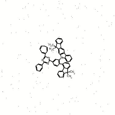 CC1(C)c2ccccc2-c2cc3c4ccccc4n(-c4cc(-c5nc(C6=CC=CCC=C6)nc(-c6ccccc6)n5)ccc4-c4cccc5c4-c4ccccc4C5(C)C)c3cc21